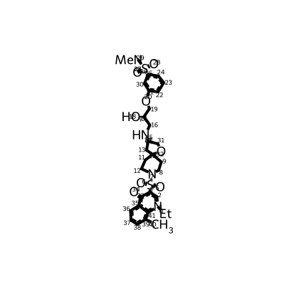 CCn1cc(S(=O)(=O)N2CCC3(CC2)C[C@@H](NC[C@H](O)COc2cccc(S(=O)(=O)NC)c2)CO3)c(=O)c2cccc(C)c21